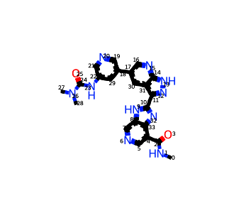 CNC(=O)c1cncc2[nH]c(-c3n[nH]c4ncc(-c5cncc(NC(=O)N(C)C)c5)cc34)nc12